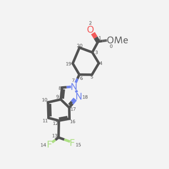 COC(=O)C1CCC(n2cc3ccc(C(F)F)cc3n2)CC1